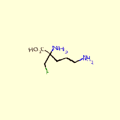 NCCC[C@@](N)(CF)C(=O)O